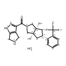 Cl.O=C(c1n[nH]c2c1CNC2)N1C[C@H]2C[C@H](c3ccccc3C(F)(F)F)C[C@H]2C1